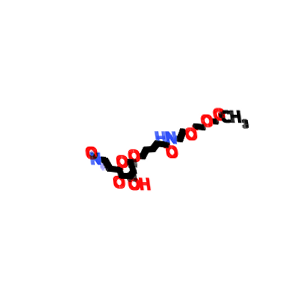 COCOCCOCCNC(=O)CCCCO[C@H]1C[C@@H](O)C(=O)C(/C=C/N=O)O1